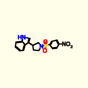 O=[N+]([O-])c1ccc(S(=O)(=O)N2CCC(c3c[nH]c4ccccc34)C2)cc1